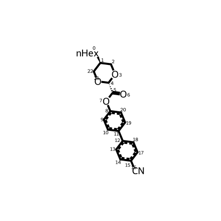 CCCCCC[C@H]1CO[C@H](C(=O)Oc2ccc(-c3ccc(C#N)cc3)cc2)OC1